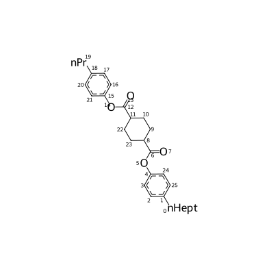 CCCCCCCc1ccc(OC(=O)C2CCC(C(=O)Oc3ccc(CCC)cc3)CC2)cc1